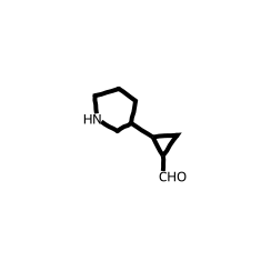 O=CC1CC1C1CCCNC1